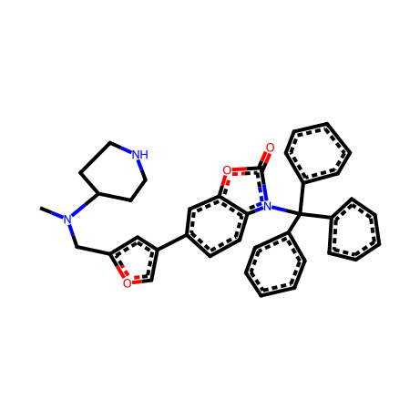 CN(Cc1cc(-c2ccc3c(c2)oc(=O)n3C(c2ccccc2)(c2ccccc2)c2ccccc2)co1)C1CCNCC1